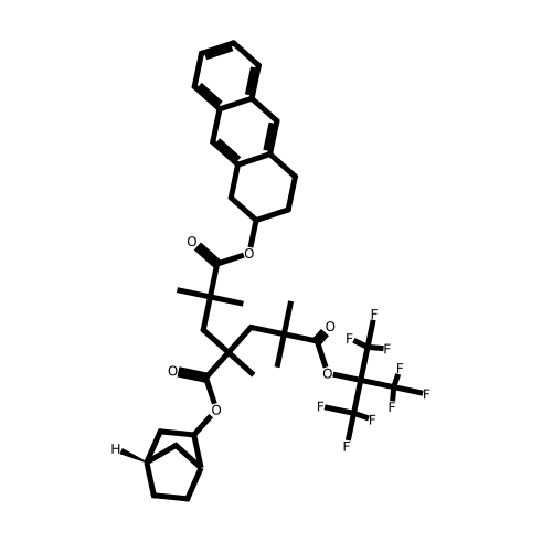 CC(C)(CC(C)(CC(C)(C)C(=O)OC(C(F)(F)F)(C(F)(F)F)C(F)(F)F)C(=O)OC1C[C@H]2CCC1C2)C(=O)OC1CCc2cc3ccccc3cc2C1